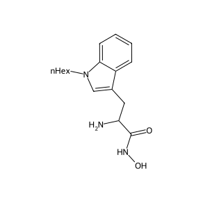 CCCCCCn1cc(CC(N)C(=O)NO)c2ccccc21